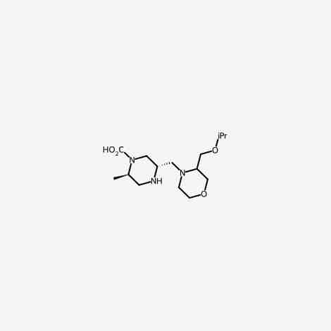 CC(C)OCC1COCCN1C[C@H]1CN(C(=O)O)[C@H](C)CN1